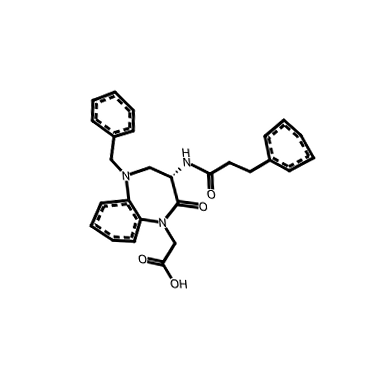 O=C(O)CN1C(=O)[C@@H](NC(=O)CCc2ccccc2)CN(Cc2ccccc2)c2ccccc21